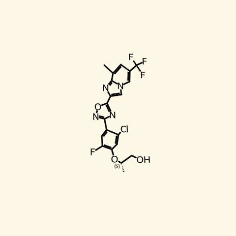 Cc1cc(C(F)(F)F)cn2cc(-c3nc(-c4cc(F)c(O[C@@H](C)CO)cc4Cl)no3)nc12